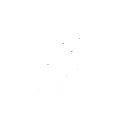 C=CCn1c(C)c(C)c(C=O)c1/C(Cl)=C\Cc1ccc(F)cc1F